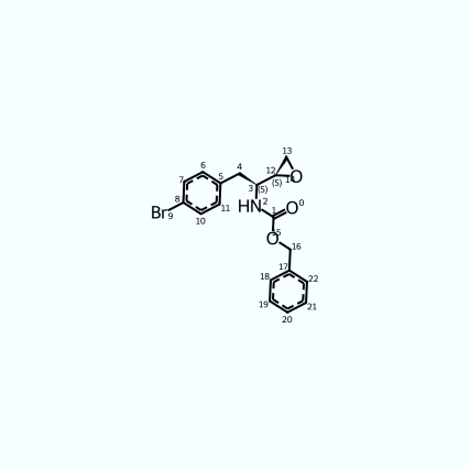 O=C(N[C@@H](Cc1ccc(Br)cc1)[C@H]1CO1)OCc1ccccc1